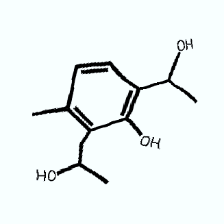 Cc1ccc(C(C)O)c(O)c1C(C)O